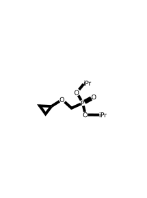 CC(C)OP(=O)(COC1CC1)OC(C)C